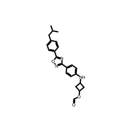 CC(C)Cc1ccc(-c2nc(-c3ccc(NC4CC(OC=O)C4)cc3)no2)cc1